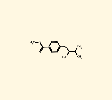 COC(=O)c1ccc(OC(N)C(C)C)cc1